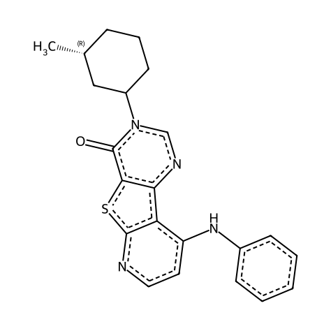 C[C@@H]1CCCC(n2cnc3c(sc4nccc(Nc5ccccc5)c43)c2=O)C1